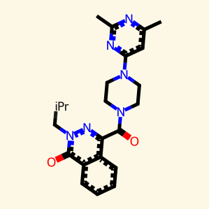 Cc1cc(N2CCN(C(=O)c3nn(CC(C)C)c(=O)c4ccccc34)CC2)nc(C)n1